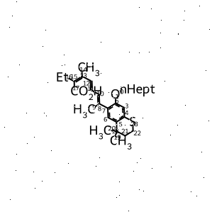 CCCCCCCOc1cc2c(cc1C(C)=CC=CC(C)=C(CC)C(=O)O)C(C)(C)CCS2